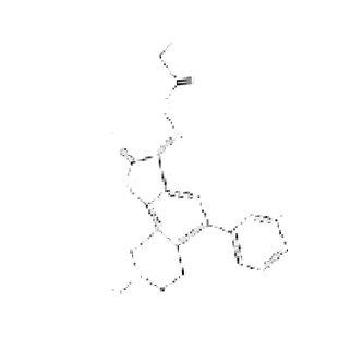 CCOC(=O)CC(=O)NN=C1C(=O)Nc2c1cc(-c1ccccc1)c1c2CN(C)CC1